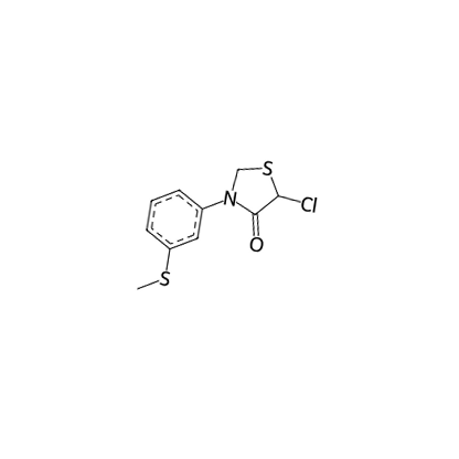 CSc1cccc(N2CSC(Cl)C2=O)c1